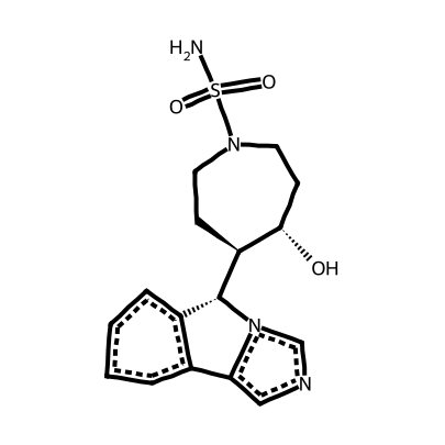 NS(=O)(=O)N1CC[C@H]([C@H]2c3ccccc3-c3cncn32)[C@@H](O)CC1